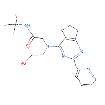 CC(C)(C)NC(=O)CN(CCO)c1nc(-c2ccccn2)nc2c1CCC2